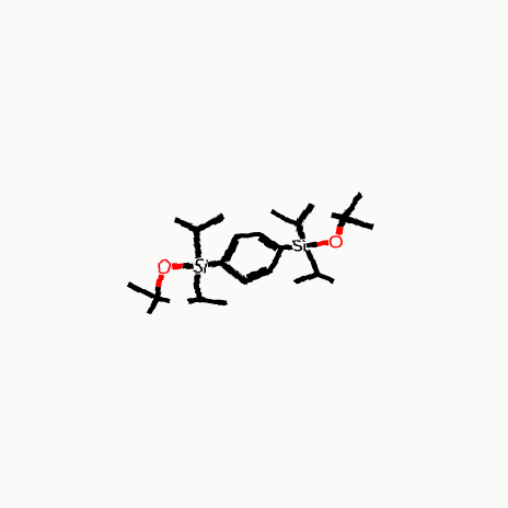 CC(C)[Si](OC(C)(C)C)(c1ccc([Si](OC(C)(C)C)(C(C)C)C(C)C)cc1)C(C)C